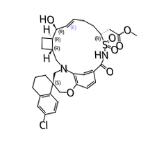 COC(=O)C[C@H]1CC/C=C/[C@H](O)[C@@H]2CC[C@H]2CN2C[C@@]3(CCCc4cc(Cl)ccc43)COc3ccc(cc32)C(=O)NS1(=O)=O